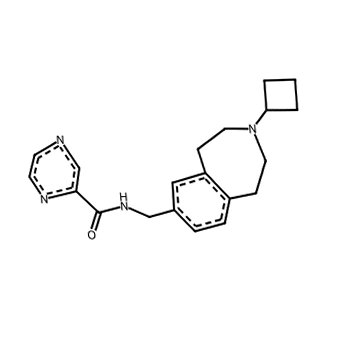 O=C(NCc1ccc2c(c1)CCN(C1CCC1)CC2)c1cnccn1